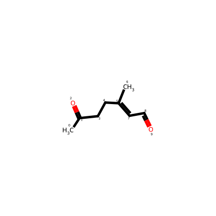 CC(=O)CCC(C)=CC=O